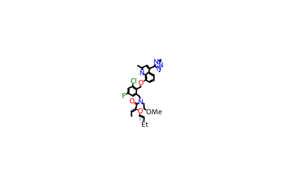 C/C=C(\O/C=C/CC)C(=O)N(CCOC)Cc1cc(F)cc(Cl)c1COc1cccc2c(-c3ncnn3C)cc(C)nc12